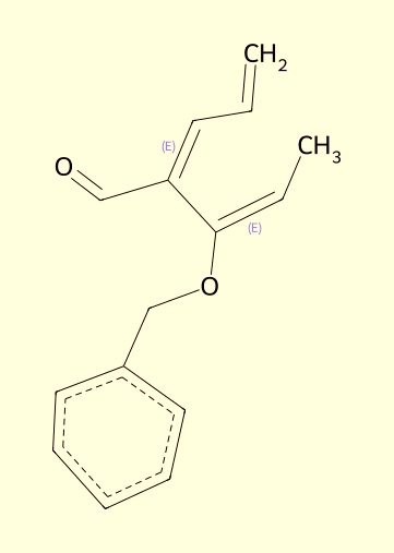 C=C/C=C(C=O)\C(=C/C)OCc1ccccc1